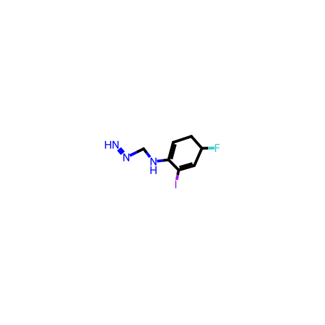 N=NCNC1=CCC(F)C=C1I